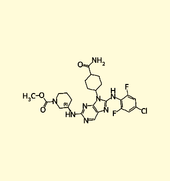 COC(=O)N1CCC[C@@H](Nc2ncc3nc(Nc4c(F)cc(Cl)cc4F)n(C4CCC(C(N)=O)CC4)c3n2)C1